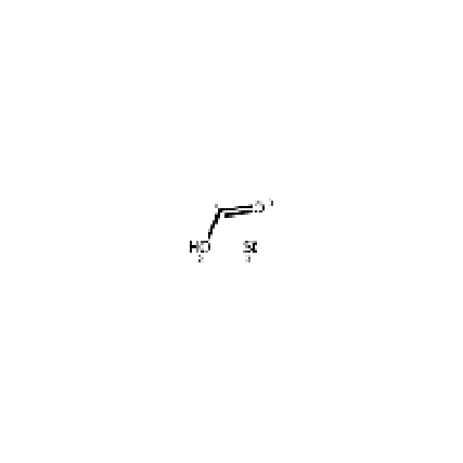 O=CO.[Si]